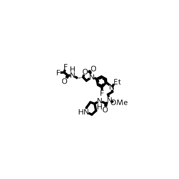 CCN(CCN(OC)C(=O)NC1CCNCC1)c1ccc(N2C[C@H](CNC(=O)C(F)F)OC2=O)cc1F